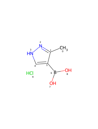 Cc1n[nH]cc1B(O)O.Cl